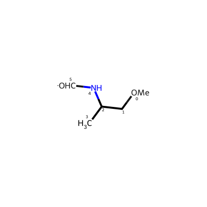 COCC(C)N[C]=O